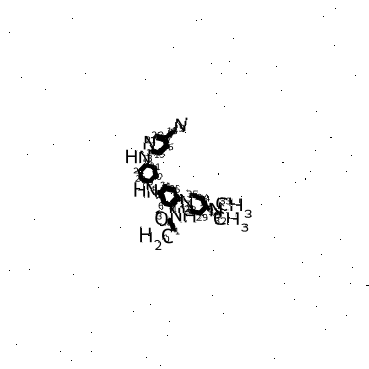 C=CC(=O)Nc1cc(NC2CCC(Nc3ccc(C#N)cn3)CC2)ccc1N1CCC(N(C)C)CC1